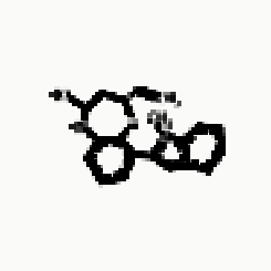 C=C[C@@H]1CC(O)Nc2cccc(-c3cc4ccccc4n3C)c2O1